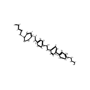 CCCCC[C@H]1CC[C@H](CCc2ccc(CCc3ccc(-c4ccc(CCCC)cc4)cc3)cc2)CC1